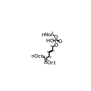 CCCCCCCCCOP(=O)(O)OC/C=C/CN(CCCCCCCC)CCCCCCCC